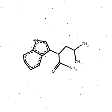 CC(C)CC(C(N)=O)c1c[nH]c2ccccc12